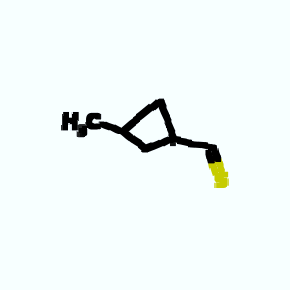 CC1C[C](C=S)C1